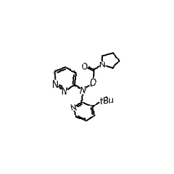 CC(C)(C)c1cccnc1N(OC(=O)N1CCCC1)c1cccnn1